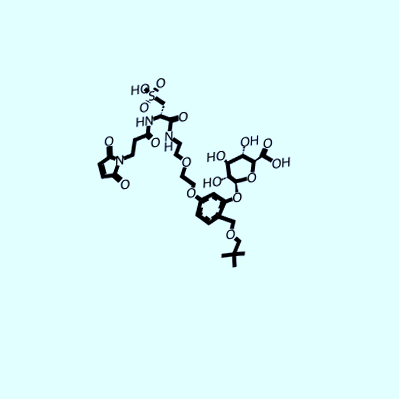 CC(C)(C)COCc1ccc(OCCOCCNC(=O)[C@@H](CS(=O)(=O)O)NC(=O)CCN2C(=O)C=CC2=O)cc1O[C@@H]1O[C@H](C(=O)O)[C@@H](O)[C@H](O)[C@H]1O